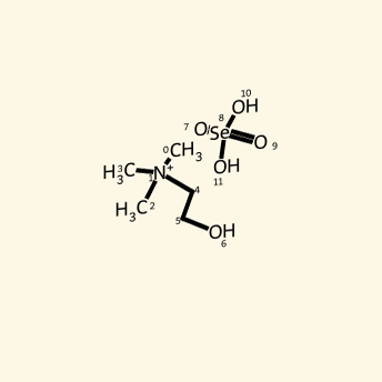 C[N+](C)(C)CCO.O=[Se](=O)(O)O